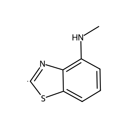 CNc1cccc2s[c]nc12